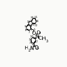 CN(C(=O)OCc1cccc2c1-c1ccccc1C2)c1cccc(C(N)=O)c1